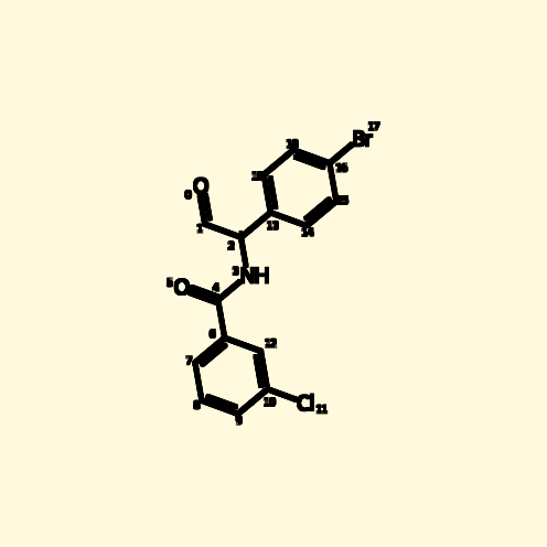 O=C[C](NC(=O)c1cccc(Cl)c1)c1ccc(Br)cc1